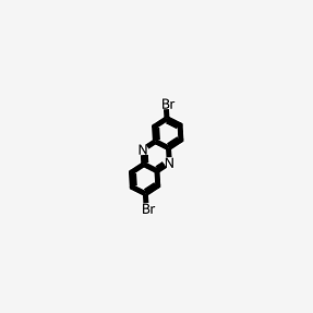 Brc1ccc2nc3cc(Br)ccc3nc2c1